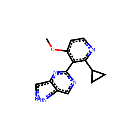 COc1ccnc(C2CC2)c1-c1ncc2[nH]ncc2n1